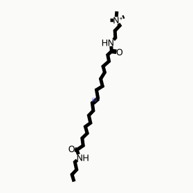 CCCCNC(=O)CCCCCCC/C=C/CCCCCCCC(=O)NCCC[N+](C)(C)C